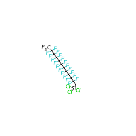 FC(F)(F)C(F)(F)C(F)(F)C(F)(F)C(F)(F)C(F)(F)C(F)(F)C(F)(F)C(F)(F)C(F)(F)C(F)(F)C[Si](Cl)(Cl)Cl